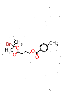 Cc1ccc(C(=O)OCCCC(=O)OC(C)(C)Br)cc1